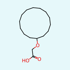 O=C(O)COC1CCCCCCCCCCCCC1